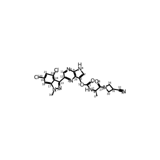 C[C@@H](NC(=O)Oc1c[nH]c2ncc(-c3nn(C)c4cc(Cl)cc(Cl)c34)nc12)C(=O)N1CC(C#N)C1